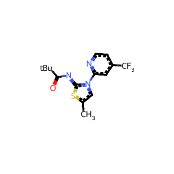 Cc1cn(-c2cc(C(F)(F)F)ccn2)c(=NC(=O)C(C)(C)C)s1